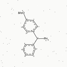 COc1ccc(C(P)c2ccccc2)cc1